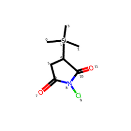 C[Si](C)(C)C1CC(=O)N(Cl)C1=O